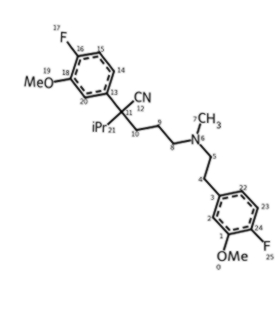 COc1cc(CCN(C)CCCC(C#N)(c2ccc(F)c(OC)c2)C(C)C)ccc1F